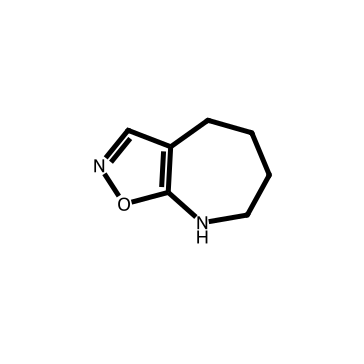 c1noc2c1CCCCN2